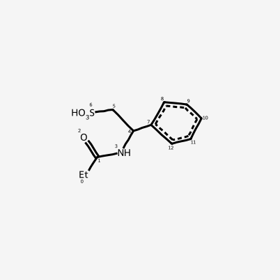 CCC(=O)NC(CS(=O)(=O)O)c1ccccc1